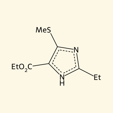 CCOC(=O)c1[nH]c(CC)nc1SC